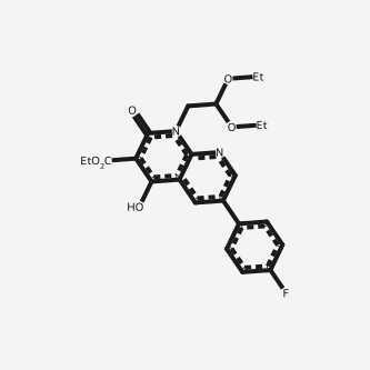 CCOC(=O)c1c(O)c2cc(-c3ccc(F)cc3)cnc2n(CC(OCC)OCC)c1=O